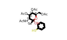 CC(=O)N[C@@H]1[C@@H](OC(C)=O)[C@H](OC(C)=O)[C@@H](COC(C)=O)O[C@]1(O)[Se].Sc1ccccc1